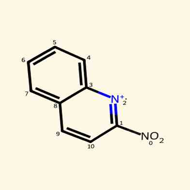 O=[N+]([O-])C1=[N+]c2ccccc2C=C1